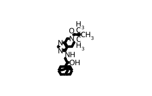 CC(C)(C)C(=O)N1CCc2c(ncnc2NCC(O)C23CC4CC(CC(C4)C2)C3)C1